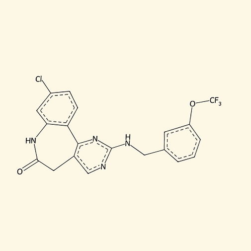 O=C1Cc2cnc(NCc3cccc(OC(F)(F)F)c3)nc2-c2ccc(Cl)cc2N1